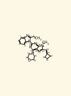 CCc1nc2ccccc2n1-c1nc(N2CCOCC2)c2nc(C=C3CCC3)n(C)c2n1